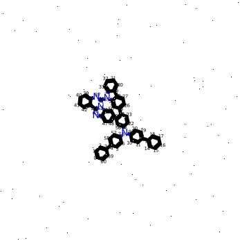 c1ccc(-c2ccc(N(c3ccc(-c4ccccc4)cc3)c3ccc(-c4ccc5c6ccccc6n(-c6nc7ccccc7c7nc8ccccc8n67)c5c4)cc3)cc2)cc1